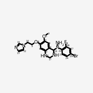 COc1cc2c(cc1OCCn1ccnc1)NCNC2N(N)c1ccc(Br)cc1F